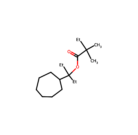 CCC(C)(C)C(=O)OC(CC)(CC)C1CCCCCC1